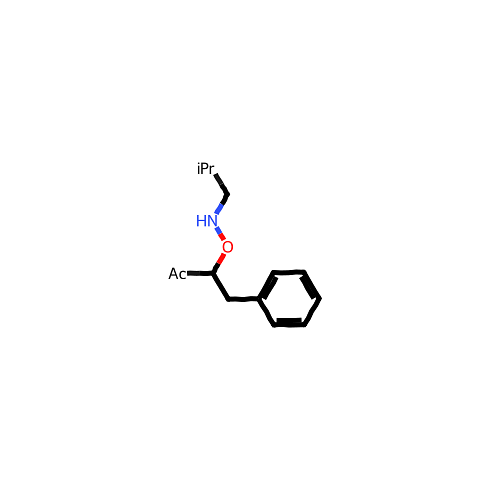 CC(=O)C(Cc1ccccc1)ONCC(C)C